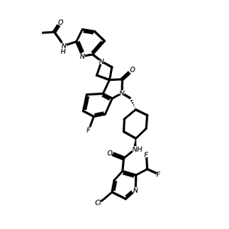 CC(=O)Nc1cccc(N2CC3(C2)C(=O)N(C[C@H]2CC[C@H](NC(=O)c4cc(Cl)cnc4C(F)F)CC2)c2cc(F)ccc23)n1